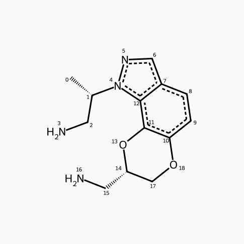 C[C@@H](CN)n1ncc2ccc3c(c21)O[C@@H](CN)CO3